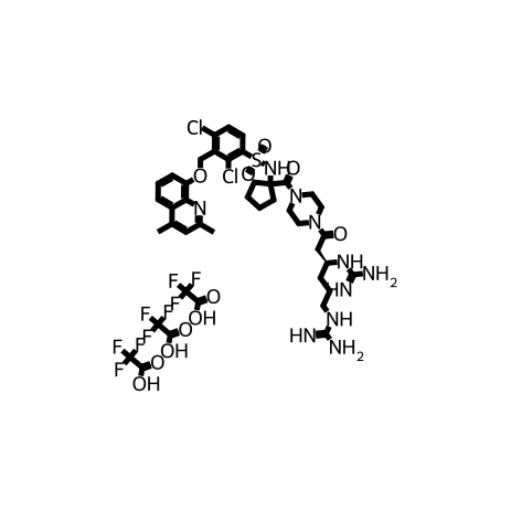 Cc1cc(C)c2cccc(OCc3c(Cl)ccc(S(=O)(=O)NC4(C(=O)N5CCN(C(=O)C[C@H](CCCNC(=N)N)NC(=N)N)CC5)CCCC4)c3Cl)c2n1.O=C(O)C(F)(F)F.O=C(O)C(F)(F)F.O=C(O)C(F)(F)F